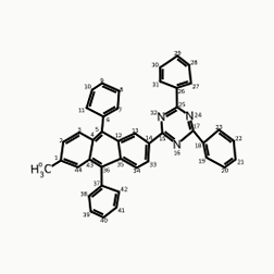 Cc1ccc2c(-c3ccccc3)c3cc(-c4nc(-c5ccccc5)nc(-c5ccccc5)n4)ccc3c(-c3ccccc3)c2c1